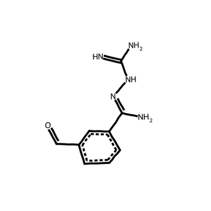 N=C(N)NN=C(N)c1cccc(C=O)c1